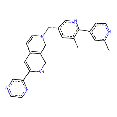 Cc1cc(-c2ncc(CN3C=CC4=C(CNC(c5cnccn5)=C4)C3)cc2C)ccn1